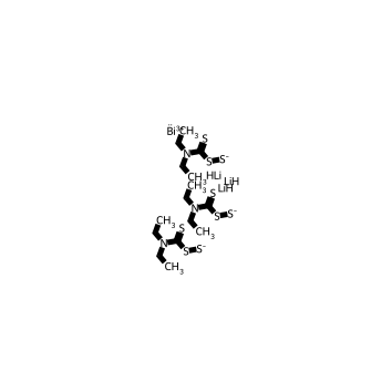 CCN(CC)C(=S)S[S-].CCN(CC)C(=S)S[S-].CCN(CC)C(=S)S[S-].[Bi+3].[LiH].[LiH].[LiH]